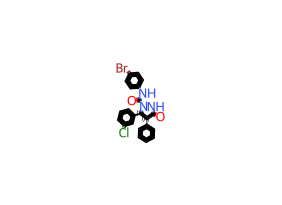 O=C1NN(C(=O)Nc2ccc(Br)cc2)[C@H](c2cccc(Cl)c2)[C@H]1c1ccccc1